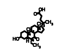 CC[C@H]1C(=O)C2C3CCC([C@H](C)CCC(=O)O)[C@@]3(C)CCC2[C@@]2(C)CCC(O)C[C@@H]12